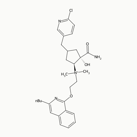 CCCCc1cc2ccccc2c(OCC[N+](C)(C)[C@H]2CC(Cc3ccc(Cl)nc3)C[C@@]2(O)C(N)=O)n1